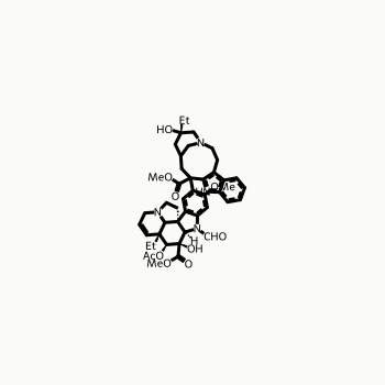 CC[C@]1(O)CC2CN(CCc3c([nH]c4ccccc34)C(C(=O)OC)(c3cc4c(cc3OC)N(C=O)[C@H]3[C@](O)(C(=O)OC)[C@@H](OC(C)=O)[C@]5(CC)C=CCN6CC[C@]43C65)C2)C1